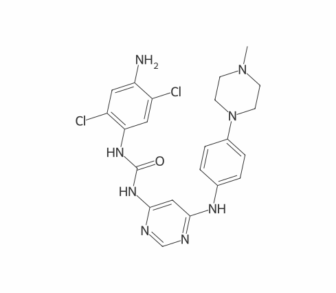 CN1CCN(c2ccc(Nc3cc(NC(=O)Nc4cc(Cl)c(N)cc4Cl)ncn3)cc2)CC1